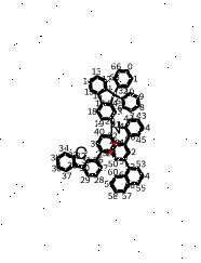 c1ccc(C2(c3ccccc3)c3ccccc3-c3ccc(N(c4ccc(-c5cccc6c5oc5ccccc56)cc4)c4ccccc4-c4cccc(-c5cccc6ccccc56)c4)cc32)cc1